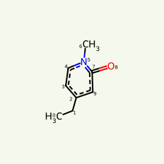 CCc1ccn(C)c(=O)c1